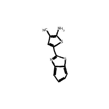 N#Cc1cc(-c2nc3ccccc3s2)sc1N